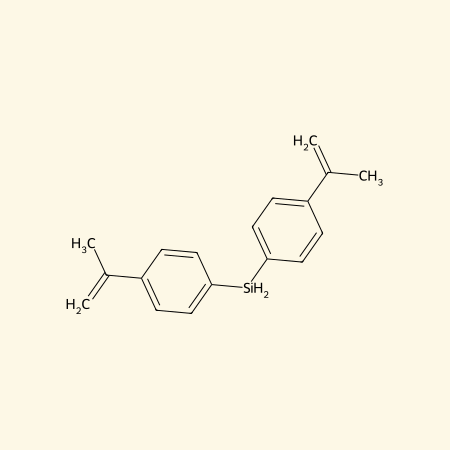 C=C(C)c1ccc([SiH2]c2ccc(C(=C)C)cc2)cc1